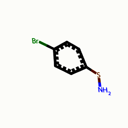 NSc1ccc(Br)cc1